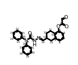 O=CC(=O)Oc1cccc2c1CCC(C=NNC(=O)N(c1ccccc1)c1ccccc1)C2